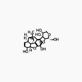 CN1CC[C@]23c4c5c([C@]6(O)[C@H](O)[C@@H](CO)O[CH][C@@H]6O)cc(O)c4O[C@H]2[C@@H](O)C=C[C@H]3[C@H]1C5